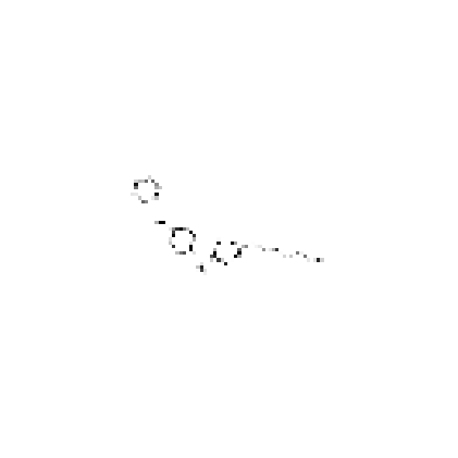 CCCCCCCc1cc[c]([Co](=[O])[c]2ccc(C(=O)Oc3ccccc3)cc2)cc1